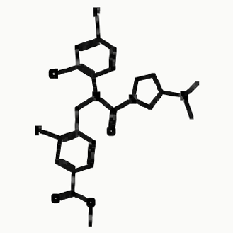 COC(=O)c1ccc(CN(C(=O)N2CCC(N(C)C)C2)c2ccc(F)cc2Cl)c(F)c1